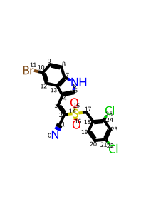 N#CC(=Cc1c[nH]c2ccc(Br)cc12)S(=O)(=O)Cc1ccc(Cl)cc1Cl